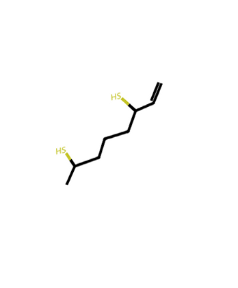 C=CC(S)CCCC(C)S